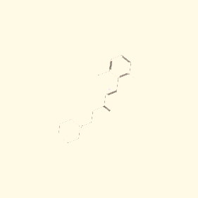 O=C(/C=C/c1c(Cl)cccc1Cl)CCN1CCOCC1